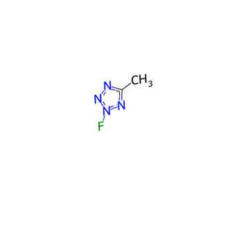 Cc1nnn(F)n1